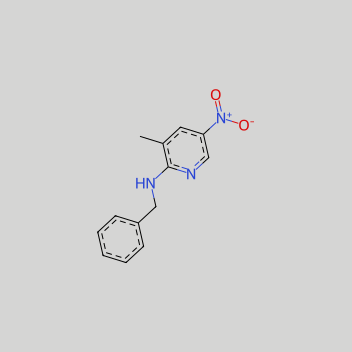 Cc1cc([N+](=O)[O-])cnc1NCc1ccccc1